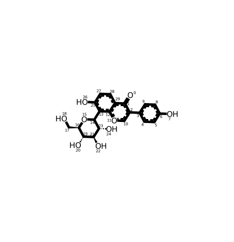 O=c1c(-c2ccc(O)cc2)coc2c(C3O[C@H](CO)[C@@H](O)[C@H](O)[C@H]3O)c(O)ccc12